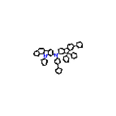 c1ccc(-c2ccc(N(c3ccc4c(c3)C(c3ccccc3)(c3ccccc3)c3cc(-c5ccccc5)ccc3-4)c3ccc4c5ccc6ccccc6c5n(-c5ccccc5)c4c3)cc2)cc1